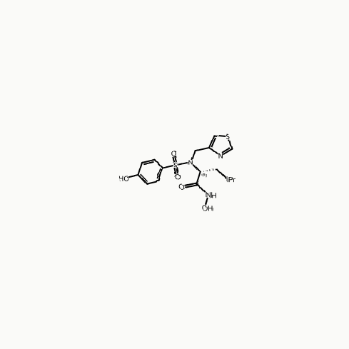 CC(C)C[C@H](C(=O)NO)N(Cc1cscn1)S(=O)(=O)c1ccc(O)cc1